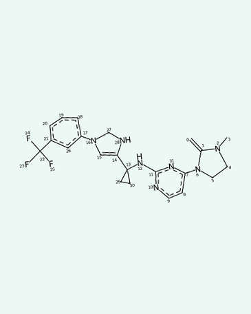 C=C1N(C)CCN1c1ccnc(NC2(C3=CN(c4cccc(C(F)(F)F)c4)CN3)CC2)n1